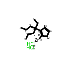 CCCC(CC)(CCC)C1=[C]([Zr])CC=C1.Cl.Cl